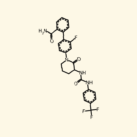 NC(=O)c1ccccc1-c1ccc(N2CCCC(NC(=O)Nc3ccc(C(F)(F)F)cc3)C2=O)cc1F